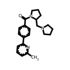 Cc1cccc(-c2ccc(C(=O)N3CCCC3CN3CCCC3)cc2)n1